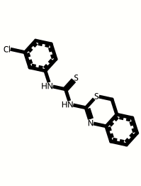 S=C(NC1=Nc2ccccc2CS1)Nc1cccc(Cl)c1